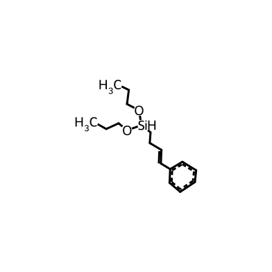 CCCO[SiH](CCC=Cc1ccccc1)OCCC